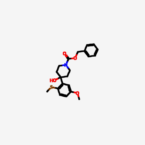 COc1ccc(SC)c(C2(O)CCN(C(=O)OCc3ccccc3)CC2)c1